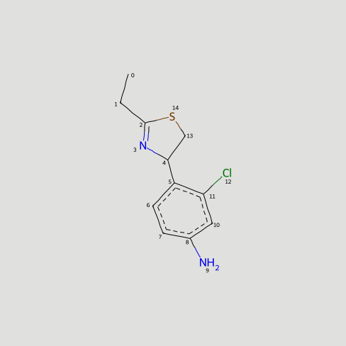 CCC1=NC(c2ccc(N)cc2Cl)CS1